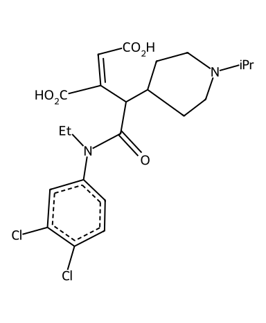 CCN(C(=O)C(/C(=C\C(=O)O)C(=O)O)C1CCN(C(C)C)CC1)c1ccc(Cl)c(Cl)c1